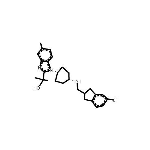 Cc1ccc2c(c1)nc(C(C)(C)O)n2[C@H]1CC[C@@H](NCC2Cc3ccc(Cl)cc3C2)CC1